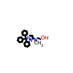 CN(CCO)c1ccn(C(c2ccccc2)(c2ccccc2)c2ccccc2)n1